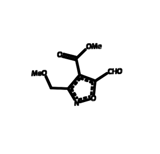 COCc1noc(C=O)c1C(=O)OC